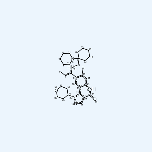 CC=C(NCC1(N2CCCCC2)CCCCC1)c1cc2c(cc1C)[nH]c(=O)c1cnn(C3CCOCC3)c12